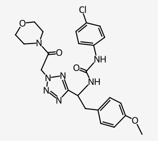 COc1ccc(CC(NC(=O)Nc2ccc(Cl)cc2)c2nnn(CC(=O)N3CCOCC3)n2)cc1